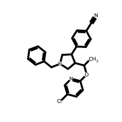 CC(Oc1ccc(Cl)cn1)C1CN(Cc2ccccc2)CC1c1ccc(C#N)cc1